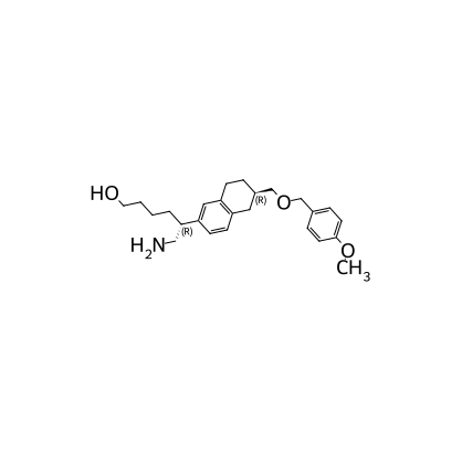 COc1ccc(COC[C@@H]2CCc3cc([C@H](CN)CCCCO)ccc3C2)cc1